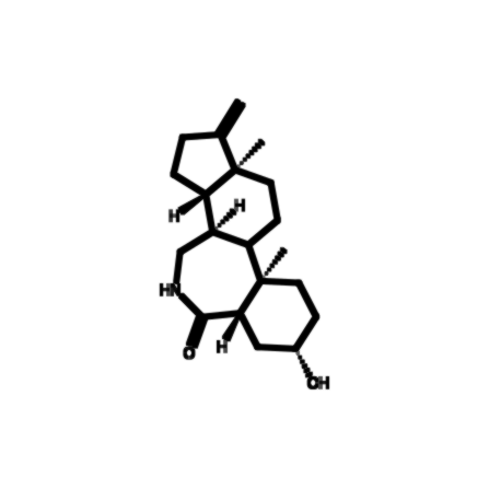 C=C1CC[C@H]2[C@@H]3CNC(=O)[C@H]4C[C@@H](O)CC[C@]4(C)C3CC[C@]12C